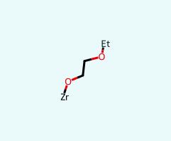 CCOCC[O][Zr]